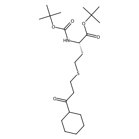 CC(C)(C)OC(=O)N[C@@H](CCSCCC(=O)C1CCCCC1)C(=O)OC(C)(C)C